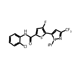 CC(C)n1nc(C(F)(F)F)cc1-c1sc(C(=O)Nc2ccccc2Cl)cc1F